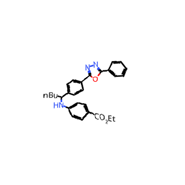 CCCCC(Nc1ccc(C(=O)OCC)cc1)c1ccc(-c2nnc(-c3ccccc3)o2)cc1